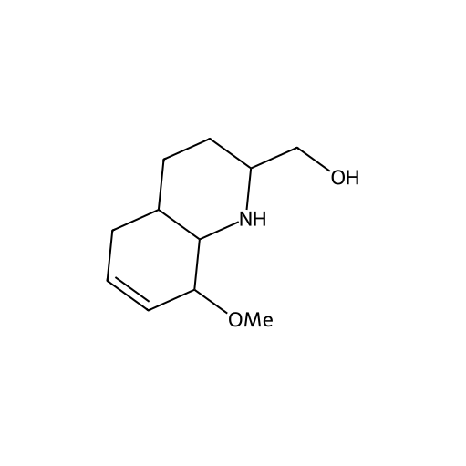 COC1C=CCC2CCC(CO)NC21